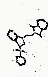 O=C1c2ccccc2C(=O)N1CCN1CC(S(=O)(=O)c2ccccc2)c2cccnc21